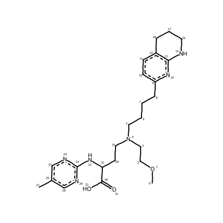 COCCN(CCCCc1ccc2c(n1)NCCC2)CCC(Nc1ncc(C)cn1)C(=O)O